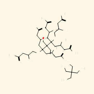 O=C(O)CC(S)COC(CC(S)CC(=O)O)(CC(S)CC(=O)O)C(CO)(CO)C(CC(S)CC(=O)O)(CC(S)CC(=O)O)OCC(S)CC(=O)O.OCC(CO)(CO)CO